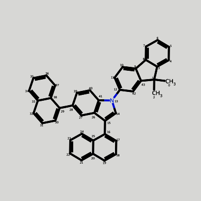 CC1(C)c2ccccc2-c2ccc(-n3cc(-c4cccc5ccccc45)c4cc(-c5cccc6ccccc56)ccc43)cc21